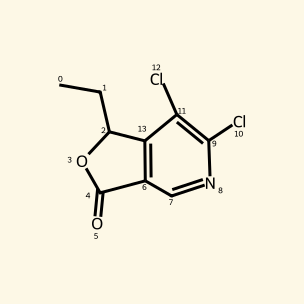 CCC1OC(=O)c2cnc(Cl)c(Cl)c21